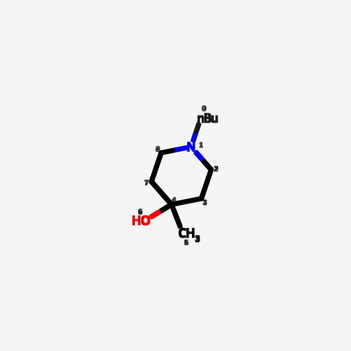 [CH2]CCCN1CCC(C)(O)CC1